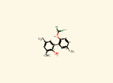 O=Cc1cc([N+](=O)[O-])cc(-c2cc([N+](=O)[O-])ccc2OC(F)F)c1O